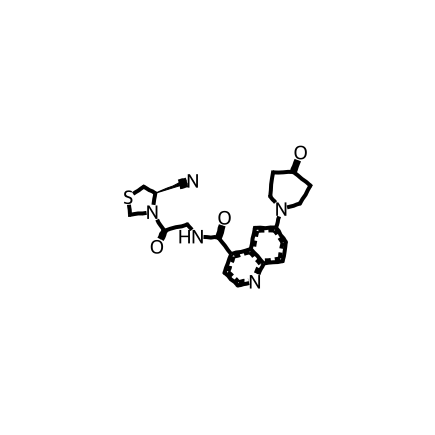 N#C[C@@H]1CSCN1C(=O)CNC(=O)c1ccnc2ccc(N3CCC(=O)CC3)cc12